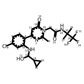 Cc1nc(-c2ccc(Cl)cc2NC(O)C2CC2)cc(=O)n1CC(=O)NC(C)(C)C(F)(F)F